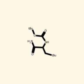 CC(C)(C)CC(NC(=O)OC(C)(C)C)C(N)=O